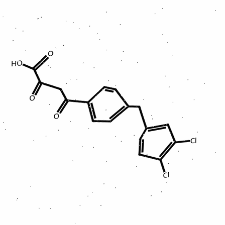 O=C(O)C(=O)CC(=O)c1ccc(Cc2ccc(Cl)c(Cl)c2)cc1